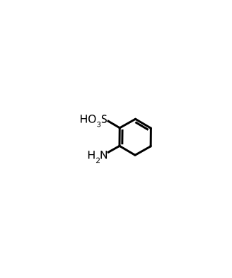 NC1=C(S(=O)(=O)O)C=CCC1